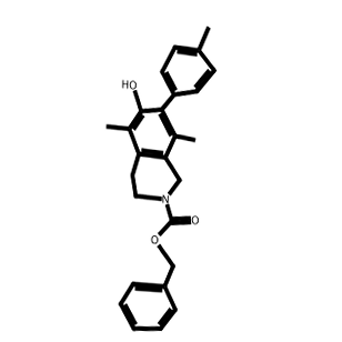 Cc1ccc(-c2c(C)c3c(c(C)c2O)CCN(C(=O)OCc2ccccc2)C3)cc1